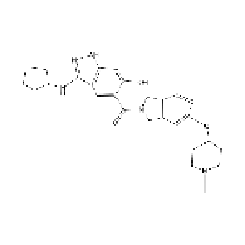 CN1CCC(Oc2ccc3c(c2)CN(C(=O)c2cc4c(NC5CCCC5)n[nH]c4cc2O)C3)CC1